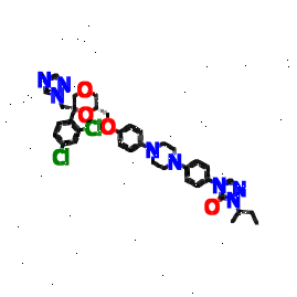 CCC(C)n1ncn(-c2ccc(N3CCN(c4ccc(OC[C@H]5COC[C@@](Cn6cncn6)(c6ccc(Cl)cc6Cl)O5)cc4)CC3)cc2)c1=O